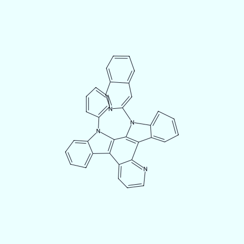 c1ccc(-n2c3ccccc3c3c4cccnc4c4c5ccccc5n(-c5cc6ccccc6cn5)c4c32)cc1